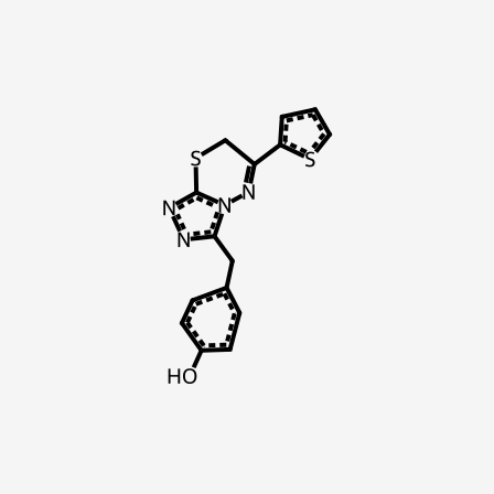 Oc1ccc(Cc2nnc3n2N=C(c2cccs2)CS3)cc1